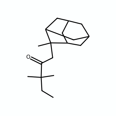 CCC(C)(C)C(=O)CC1(C)C2CC3CC(C2)CC1C3